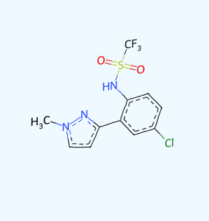 Cn1ccc(-c2cc(Cl)ccc2NS(=O)(=O)C(F)(F)F)n1